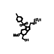 COc1cc2c(cc1CO)cc(CNC(=O)O)n2S(=O)(=O)c1ccc(C)cc1